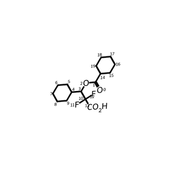 O=C(OC(C1CCCCC1)C(F)(F)C(=O)O)C1CCCCC1